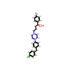 OC(CCCN1CCN(c2ccc(Cc3ccc(F)cc3)cc2)CC1)c1ccc(F)cc1